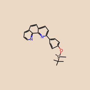 CC(C)(C)[Si](C)(C)Oc1ccc(-c2ccc3ccc4cccnc4c3n2)cc1